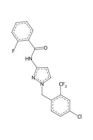 O=C(Nc1ccn(Cc2ccc(Cl)cc2C(F)(F)F)n1)c1ccccc1F